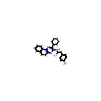 O=C(Cc1ccc(Br)cc1)Nc1nc2c(nc1C1CCCCC1)-c1ccccc1CC2